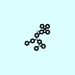 c1ccc(-c2ccc(N(c3ccc4oc5cc6c(cc5c4c3)-c3ccccc3C6(c3ccccc3)c3ccccc3)c3ccc4c5ccccc5n(-c5ccccc5)c4c3)cc2)cc1